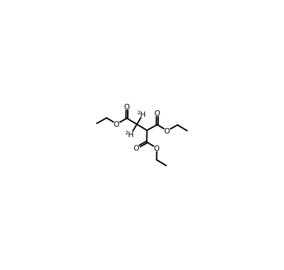 [2H]C([2H])(C(=O)OCC)C(C(=O)OCC)C(=O)OCC